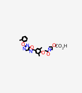 Cc1ccccc1Oc1ncc2nc(-c3cc(C)c(OCC(=O)N4CC(OC(=O)O)C4)c(C)c3)oc2n1